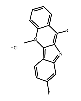 Cl.Cn1c2c3ccc(F)cc3nc-2c(Cl)c2ccccc21